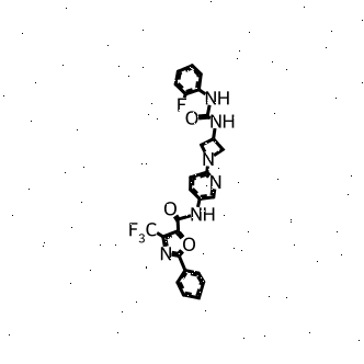 O=C(Nc1ccccc1F)NC1CN(c2ccc(NC(=O)c3oc(-c4ccccc4)nc3C(F)(F)F)cn2)C1